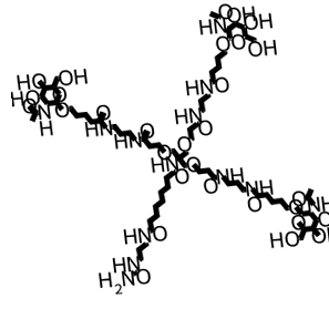 CC(=O)NC1C(OCCCCC(=O)NCCCNC(=O)CCOCC(COCCC(=O)NCCCNC(=O)CCCCOC2OC(CO)C(O)C(O)C2NC(C)=O)(COCCC(=O)NCCCNC(=O)CCCCOC2OC(CO)C(O)C(O)C2NC(C)=O)NC(=O)CCCCCCCC(=O)NCCCNC(N)=O)OC(CO)C(O)C1O